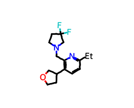 CCc1ccc(C2CCOC2)c(CN2CCC(F)(F)C2)n1